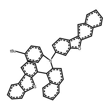 CC(C)(C)c1ccc(N(c2ccc3c(c2)oc2cc4ccccc4cc23)c2ccc3ccccc3c2-c2cccc3c2sc2ccccc23)cc1